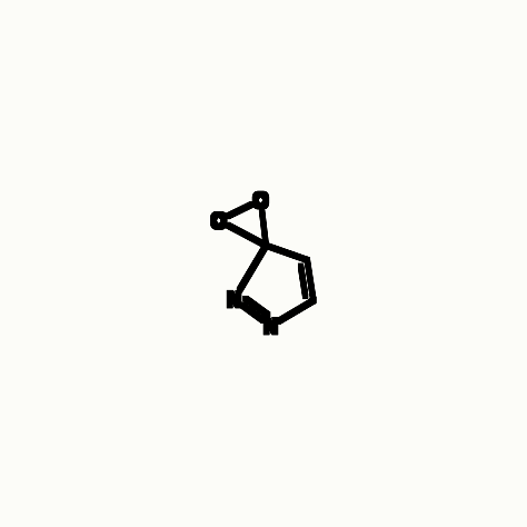 C1=CC2(N=N1)OO2